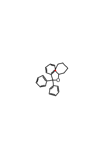 c1ccc(C(OC2CCCCC2)(c2ccccc2)c2ccccc2)cc1